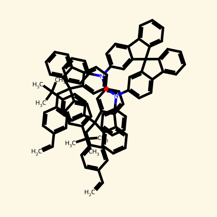 C=Cc1ccc(CC2(c3ccc(C(C)(C)C)cc3)c3ccccc3-c3ccc(N(c4ccccc4)c4ccc5c(c4)C4(c6ccccc6-5)c5ccccc5-c5ccc(N(c6ccccc6)c6ccc7c(c6)C(Cc6ccc(C=C)cc6)(c6ccc(C(C)(C)C)cc6)c6ccccc6-7)cc54)cc32)cc1